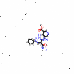 COC(=O)c1cncc(NC(=N)/C(=C\NC2CCCCC2)C(N)=O)c1